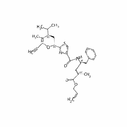 C#CCO[C@H](C[C@@H](NC)C(C)C)c1nc(C(=O)N[C@@H](Cc2ccccc2)C[C@H](C)C(=O)OCC=C)cs1